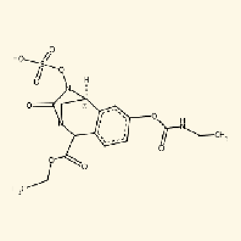 CCNC(=O)Oc1ccc2c(c1)[C@H]1CN(C(=O)N1OS(=O)(=O)O)C2C(=O)OCC